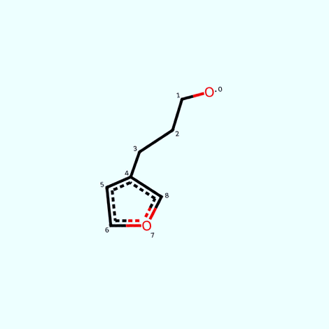 [O]CCCc1ccoc1